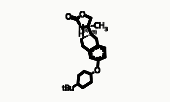 CC(C)(C)[C@H]1CC[C@H](Oc2ccc3c(c2)CC[C@H]([C@]2(C)COC(=O)N2)C3)CC1